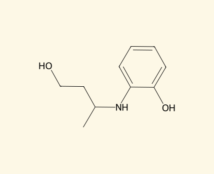 CC(CCO)Nc1ccccc1O